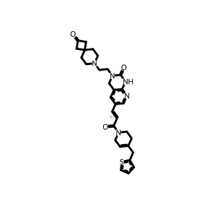 O=C1CC2(CCN(CCN3Cc4cc(/C=C/C(=O)N5CC=C(Cc6cccs6)CC5)cnc4NC3=O)CC2)C1